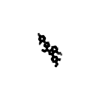 CCC(c1cn(-c2ccc(F)cc2F)nn1)n1cc(-c2cnc(OC)c(F)c2)c2c(N)ncnc21